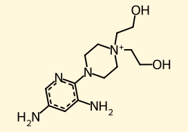 Nc1cnc(N2CC[N+](CCO)(CCO)CC2)c(N)c1